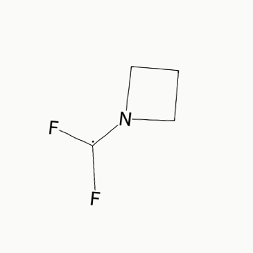 F[C](F)N1CCC1